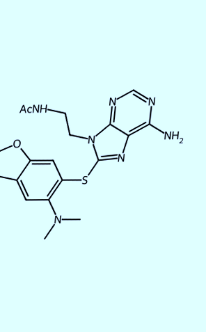 CC(=O)NCCn1c(Sc2cc3c(cc2N(C)C)OCO3)nc2c(N)ncnc21